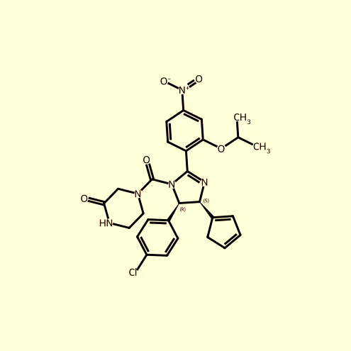 CC(C)Oc1cc([N+](=O)[O-])ccc1C1=N[C@@H](C2=CC=CC2)[C@@H](c2ccc(Cl)cc2)N1C(=O)N1CCNC(=O)C1